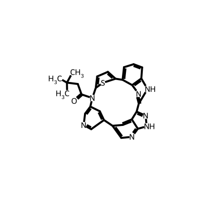 CC(C)(C)CC(=O)n1c2cncc(c2)c2cnc3[nH]nc(c4nc5c(cccc5c5ccc1s5)[nH]4)c3c2